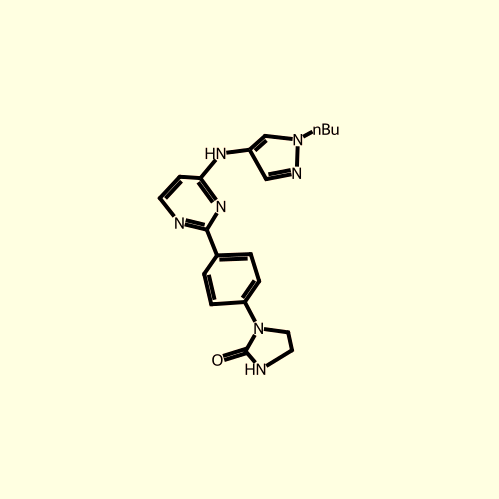 CCCCn1cc(Nc2ccnc(-c3ccc(N4CCNC4=O)cc3)n2)cn1